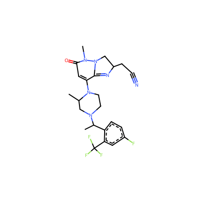 CC(c1ccc(F)cc1C(F)(F)F)N1CCN(C2=CC(=O)N(C)N3CC(CC#N)N=C23)C(C)C1